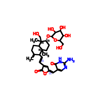 C=C1CCC2[C@](C)(CC[C@@H](OC3OC(CO)C(O)C(O)C3O)[C@@]2(C)CO)C1/C=C/C1=CC(=C\c2cnc(N)[nH]c2=O)/OC1=O